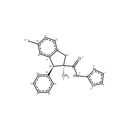 C[C@@]1(C(=O)Nc2nccs2)Cc2ccc(I)cc2[C@@H]1c1ccccc1